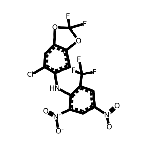 O=[N+]([O-])c1cc([N+](=O)[O-])c(Nc2cc3c(cc2Cl)OC(F)(F)O3)c(C(F)(F)F)c1